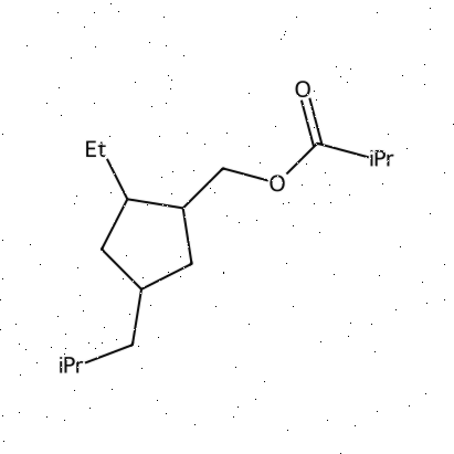 CCC1CC(CC(C)C)CC1COC(=O)C(C)C